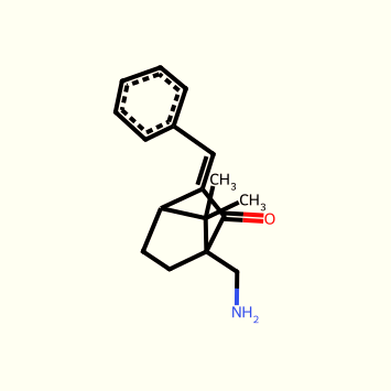 CC1(C)C2CCC1(CN)C(=O)C2=Cc1ccccc1